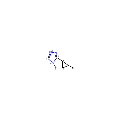 CC1C2Cn3cnnc3C12